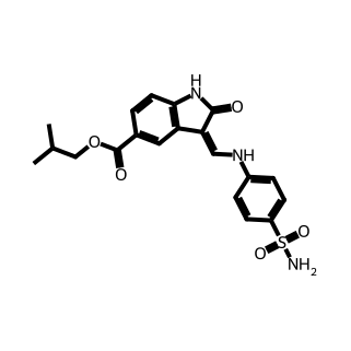 CC(C)COC(=O)c1ccc2c(c1)C(=CNc1ccc(S(N)(=O)=O)cc1)C(=O)N2